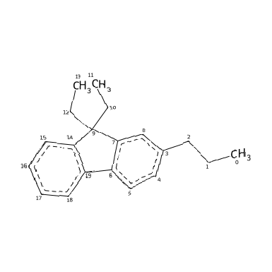 CCCc1ccc2c(c1)C(CC)(CC)c1ccccc1-2